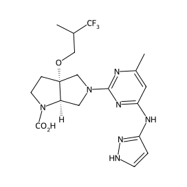 Cc1cc(Nc2cc[nH]n2)nc(N2C[C@H]3N(C(=O)O)CC[C@@]3(OCC(C)C(F)(F)F)C2)n1